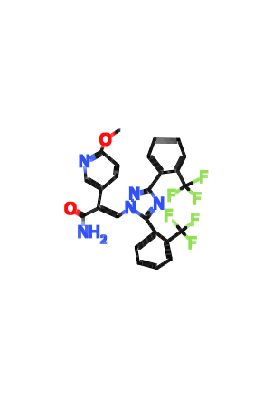 COc1ccc(/C(=C\n2nc(-c3ccccc3C(F)(F)F)nc2-c2ccccc2C(F)(F)F)C(N)=O)cn1